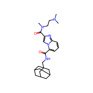 CN(C)CCN(C)C(=O)c1cn2c(C(=O)NCC34CC5CC(CC(C5)C3)C4)cccc2n1